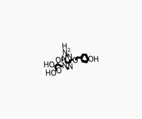 Nc1nc(OCc2ccc(O)cc2)c2ncn([C@@H]3O[C@H](O)C(O)[C@@H]3O)c2n1